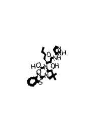 CCCC[C@@H](C(O)C(=O)Nc1ccn[nH]1)N(C(=O)O)C1CC(C)(C)CN1c1nc2ccccc2s1